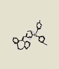 C=C(C=C1c2ccccc2CCc2ccccc21)/C=C\C(=C/C)N(c1ccc(C)cc1)c1ccc(C)cc1